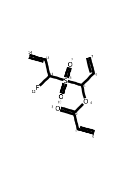 C=CC(=O)OC(C=C)S(=O)(=O)C(F)C=C